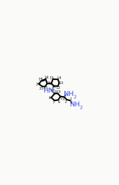 NCCC(N)C1CCCC(NC2CCCCC2C2C=CCCC2)C1